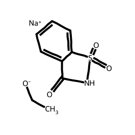 CC[O-].O=C1NS(=O)(=O)c2ccccc21.[Na+]